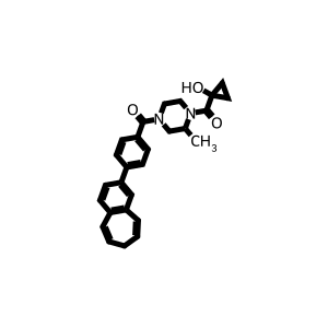 CC1CN(C(=O)c2ccc(-c3ccc4c(c3)C=CCC=C4)cc2)CCN1C(=O)C1(O)CC1